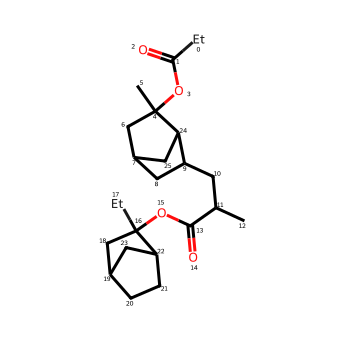 CCC(=O)OC1(C)CC2CC(CC(C)C(=O)OC3(CC)CC4CCC3C4)C1C2